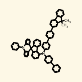 CC1(C)c2ccccc2-c2ccc(-c3ccc(-c4ccc(N(c5ccc(-c6ccccc6)cc5)c5cccc6c5-c5ccccc5C65c6ccccc6N(c6ccccc6)c6ccccc65)cc4)cc3)cc21